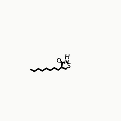 CCCCCCCCC1CSNC1=O